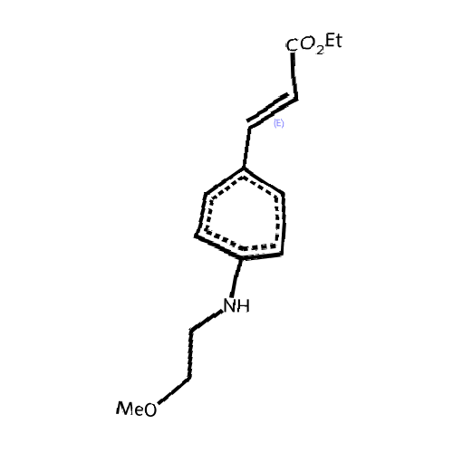 CCOC(=O)/C=C/c1ccc(NCCOC)cc1